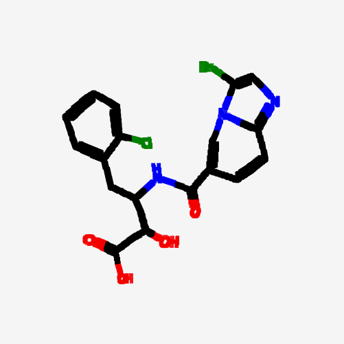 O=C(NC(Cc1ccccc1Cl)C(O)C(=O)O)c1ccc2ncc(Br)n2c1